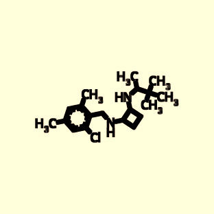 Cc1cc(C)c(CNC2CCC2NC(C)C(C)(C)C)c(Cl)c1